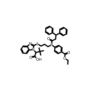 CCOC(=O)c1ccc(N(CCCSc2nc3ccccc3n2C(C(=O)O)C(C)(C)C)C(=O)CC(c2ccccc2)c2ccccc2)cc1